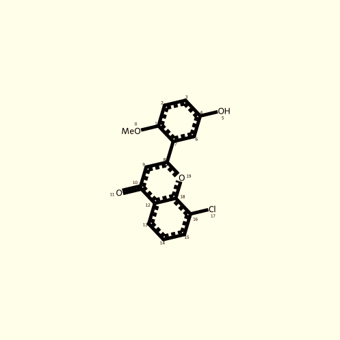 COc1ccc(O)cc1-c1cc(=O)c2cccc(Cl)c2o1